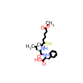 COC(=O)CCCCC(S)CN[C@@H](CC(C)C)C(=O)N[C@@H](Cc1ccccc1)C(=O)O